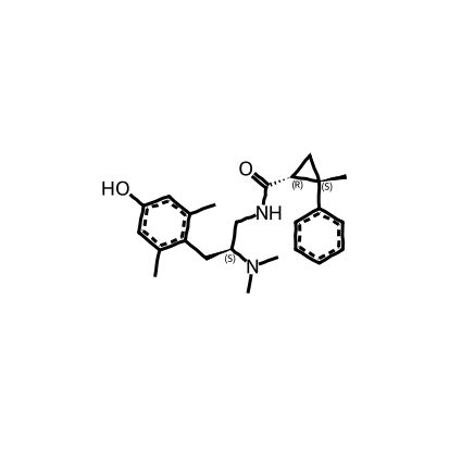 Cc1cc(O)cc(C)c1C[C@@H](CNC(=O)[C@@H]1C[C@]1(C)c1ccccc1)N(C)C